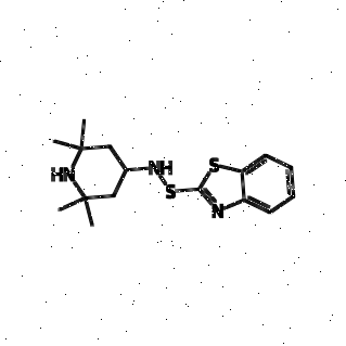 CC1(C)CC(NSc2nc3ccccc3s2)CC(C)(C)N1